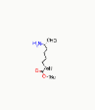 CC(C)(C)OC(=O)[AsH]CCCC[C@H](N)[C]=O